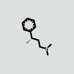 C[C@@H](CCN(C)C)c1ccccc1